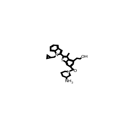 Cc1c(-c2cc3ccccc3n2CC2CC2)sc2cc(C(=O)N3CCCC(N)C3)cc(CCO)c12